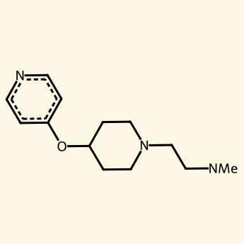 CNCCN1CCC(Oc2ccncc2)CC1